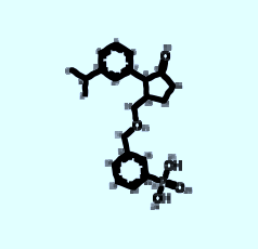 CC(C)c1cccc(C2C(=O)CCC2COCc2cccc(P(=O)(O)O)c2)c1